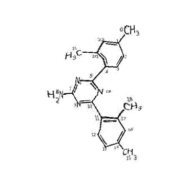 Cc1ccc(-c2nc(N)nc(-c3ccc(C)cc3C)n2)c(C)c1